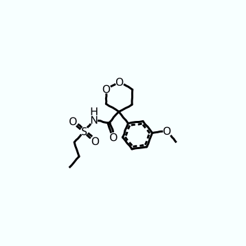 CCCS(=O)(=O)NC(=O)C1(c2cccc(OC)c2)CCOOC1